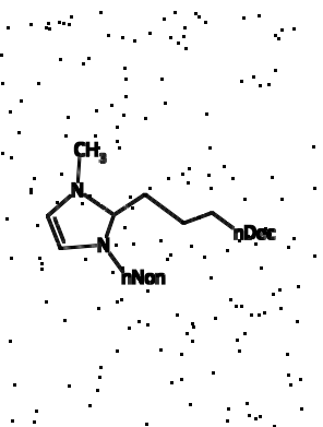 CCCCCCCCCCCCCC1N(C)C=CN1CCCCCCCCC